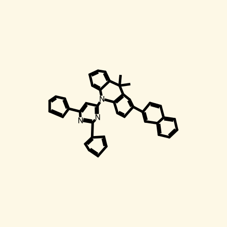 CC1(C)c2ccccc2N(c2cc(-c3ccccc3)nc(-c3ccccc3)n2)c2ccc(-c3ccc4ccccc4c3)cc21